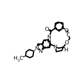 C[C@H]1CC[C@H](n2cc3cc4c(cc3n2)N2CC[C@H](C2)OCCOc2cccc(c2)C(=O)N4)CC1